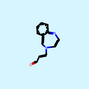 O=CC=CN1C=CN=c2ccccc2=C1